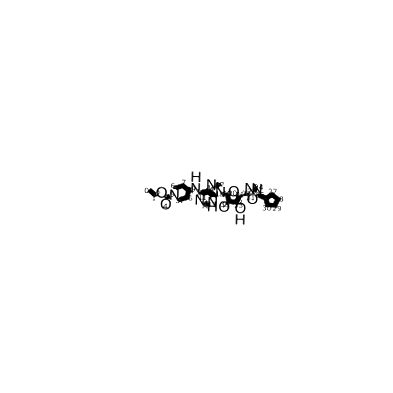 CCOC(=O)N1CCC(Nc2ncnc3c2ncn3[C@@H]2O[C@H](c3nnc(C4CCCC4)o3)[C@@H](O)[C@@H]2O)CC1